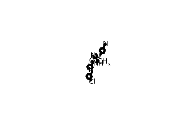 CC(NC(=O)C1CCCN(Cc2cccc(Cl)c2)C1)c1cncn1Cc1ccc(C#N)cc1